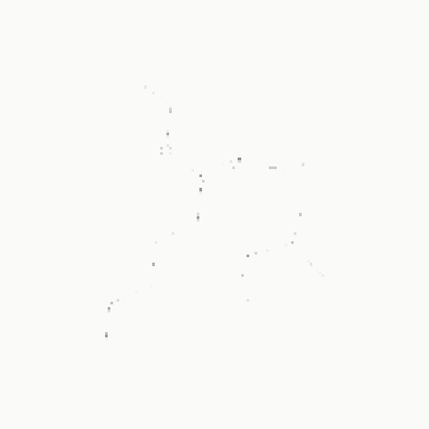 CC(CC(=O)O)CC(C)(C)C.CCCCCC(=O)OCC